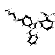 COCCNc1ccc2c(Sc3ccccc3[N+](=O)[O-])cn(Cc3ccccn3)c2c1